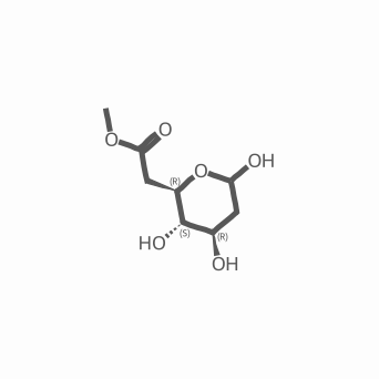 COC(=O)C[C@H]1OC(O)C[C@@H](O)[C@@H]1O